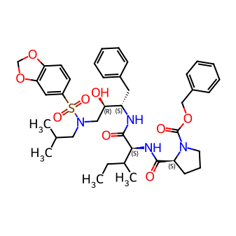 CCC(C)[C@H](NC(=O)[C@@H]1CCCN1C(=O)OCc1ccccc1)C(=O)N[C@@H](Cc1ccccc1)[C@H](O)CN(CC(C)C)S(=O)(=O)c1ccc2c(c1)OCO2